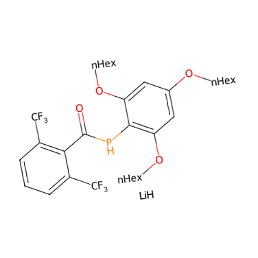 CCCCCCOc1cc(OCCCCCC)c(PC(=O)c2c(C(F)(F)F)cccc2C(F)(F)F)c(OCCCCCC)c1.[LiH]